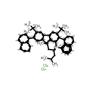 CC(C)C[C](CC(C)C)=[Zr+2]([c]1c2c(cc(C(C)(C)C)c1-c1cccc3ccccc13)-c1cc(C(C)(C)C)c(-c3cccc4ccccc34)cc1C2)[CH]1C=CC=C1.[Cl-].[Cl-]